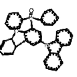 O=P(c1ccccc1)(c1ccccc1)c1cc(-n2c3ccccc3c3ccccc32)cc2c1OC1C=CC=CC21